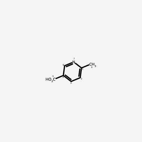 Cc1ccc(C(=O)O)[c]n1